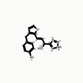 CC(=O)c1ccc(Cc2ccsc2C=CC(O)c2nn[nH]n2)cc1